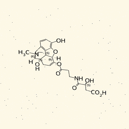 CN1CC[C@]23c4c5ccc(O)c4O[C@H]2C(OC(=O)CCNC(=O)[C@@H](O)CC(=O)O)=CC[C@@]3(O)[C@H]1C5